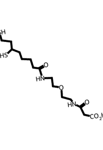 O=C(O)CC(=O)NCCOCCNC(=O)CCCCC(S)CCS